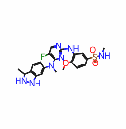 CNS(=O)(=O)c1ccc(OC)c(Nc2ncc(F)c(N(C)c3ccc4c(c3)NNC4C)n2)c1